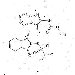 COC(=O)Nc1nc2ccccc2[nH]1.O=C1C2CC=CCC2C(=O)N1SC(Cl)(Cl)C(Cl)Cl